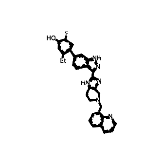 CCc1cc(O)c(F)cc1-c1ccc2c(-c3nc4c([nH]3)CCN(Cc3cccc5cccnc35)C4)n[nH]c2c1